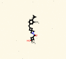 Cc1cc(CC2CC3(C2)CN(C(=O)C2CC(C)(O)C2)C3)ccc1C1CC1